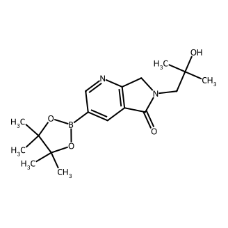 CC(C)(O)CN1Cc2ncc(B3OC(C)(C)C(C)(C)O3)cc2C1=O